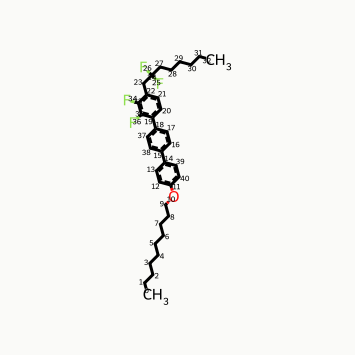 CCCCCCCCCCOc1ccc(-c2ccc(-c3ccc(CC(F)(F)CCCCCC)c(F)c3F)cc2)cc1